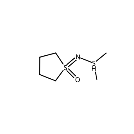 C[SH](C)N=S1(=O)CCCC1